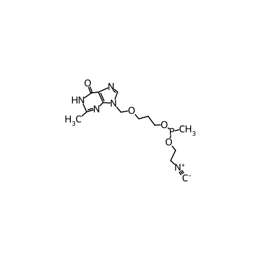 [C-]#[N+]CCOP(C)OCCCOCn1cnc2c(=O)[nH]c(C)nc21